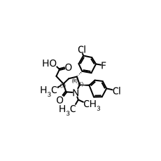 CC(C)N1C(=O)[C@](C)(CC(=O)O)C[C@H](c2cc(F)cc(Cl)c2)[C@H]1c1ccc(Cl)cc1